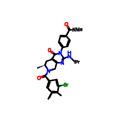 CNC(=O)c1ccc(-n2c(NC(C)C)nc3c(c2=O)C[C@@H](C)N(C(=O)c2cc(C)c(C)c(Br)c2)C3)cc1